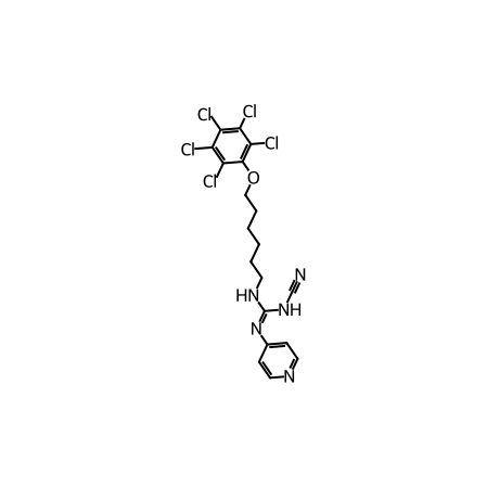 N#CNC(=Nc1ccncc1)NCCCCCCOc1c(Cl)c(Cl)c(Cl)c(Cl)c1Cl